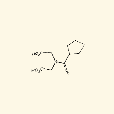 O=C(O)CN(CC(=O)O)C(=O)C1CCCC1